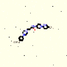 COc1ccc(N2CCN(CCCC(=O)NC3CCN(c4ccc(C(F)(F)F)cn4)CC3)CC2)cc1